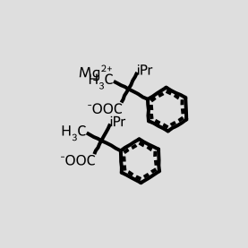 CC(C)C(C)(C(=O)[O-])c1ccccc1.CC(C)C(C)(C(=O)[O-])c1ccccc1.[Mg+2]